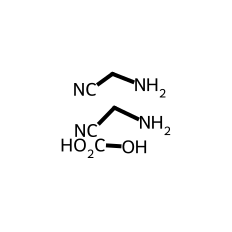 N#CCN.N#CCN.O=C(O)O